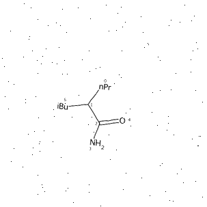 CCCC(C(N)=O)C(C)CC